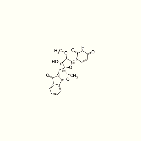 CC[C@@]1(CN2C(=O)c3ccccc3C2=O)O[C@@H](n2ccc(=O)[nH]c2=O)C(OC)[C@H]1O